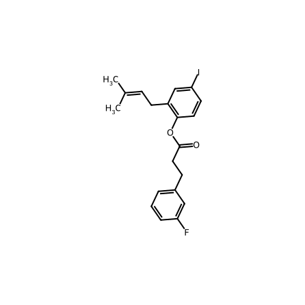 CC(C)=CCc1cc(I)ccc1OC(=O)CCc1cccc(F)c1